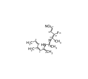 C=C(/C=C(C)\C=C/C)N/C(C)=N/C(C)=C(F)\C=C\C#N